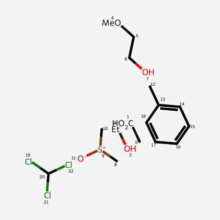 CC(=O)O.CCO.COCCO.C[S+](C)[O-].Cc1ccccc1.ClC(Cl)Cl